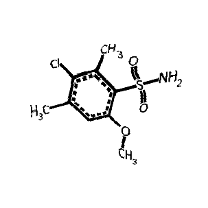 COc1cc(C)c(Cl)c(C)c1S(N)(=O)=O